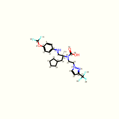 C[C@@](CNc1ccc(OC(F)F)cc1)(CC1CCCC1)N(CCn1ccc(C(F)(F)F)n1)C(=O)O